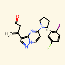 C=C(CC=O)c1cnn2ccc(N3CCC[C@@H]3c3cc(F)ccc3I)nc12